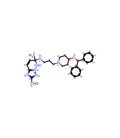 CC1(NCCCN2CCC(OC(c3ccccc3)c3ccccc3)CC2)C=Cc2nc([C]=O)nn2N1